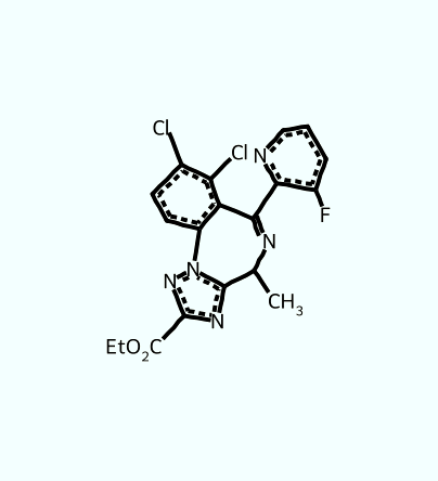 CCOC(=O)c1nc2n(n1)-c1ccc(Cl)c(Cl)c1C(c1ncccc1F)=NC2C